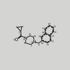 O=C(C1CC1)N1CCN(Cc2ccc3ccccc3c2)CC1